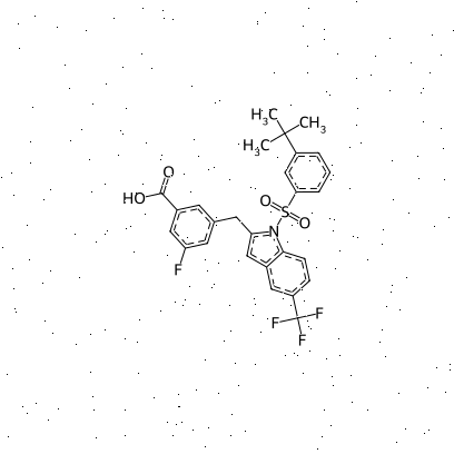 CC(C)(C)c1cccc(S(=O)(=O)n2c(Cc3cc(F)cc(C(=O)O)c3)cc3cc(C(F)(F)F)ccc32)c1